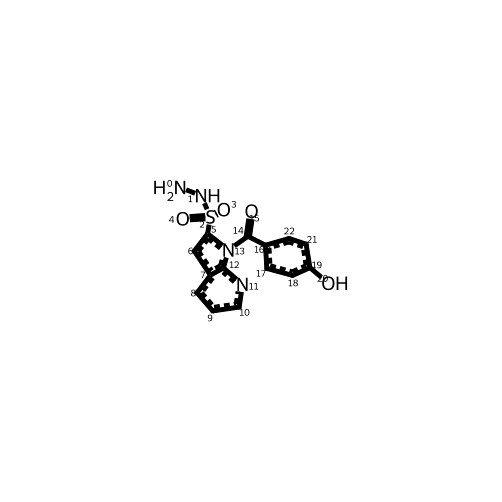 NNS(=O)(=O)c1cc2cccnc2n1C(=O)c1ccc(O)cc1